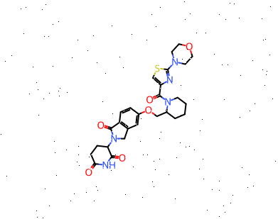 O=C1CCC(N2Cc3cc(OCC4CCCCN4C(=O)c4csc(N5CCOCC5)n4)ccc3C2=O)C(=O)N1